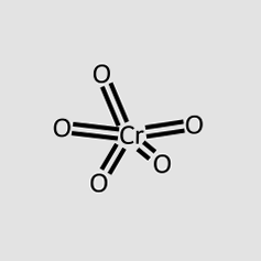 [O]=[Cr](=[O])(=[O])(=[O])=[O]